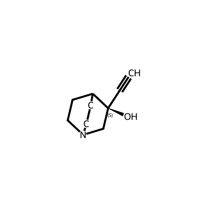 C#C[C@]1(O)CN2CCC1CC2